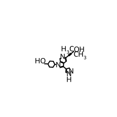 CC(C)(O)C#Cc1cc2c(-c3cn[nH]c3)cn(C3CCC(CO)CC3)c2cn1